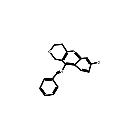 Clc1ccc2c(N=Cc3ccccc3)c3c(nc2c1)CCOC3